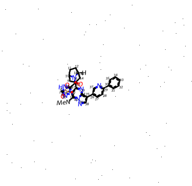 CNc1c(S(C)(=O)=O)c(C2CC3CC[C@H](C2)N3C(=O)c2nnc[nH]2)nc2c(-c3ccc(-c4ccccc4)nc3)cnn12